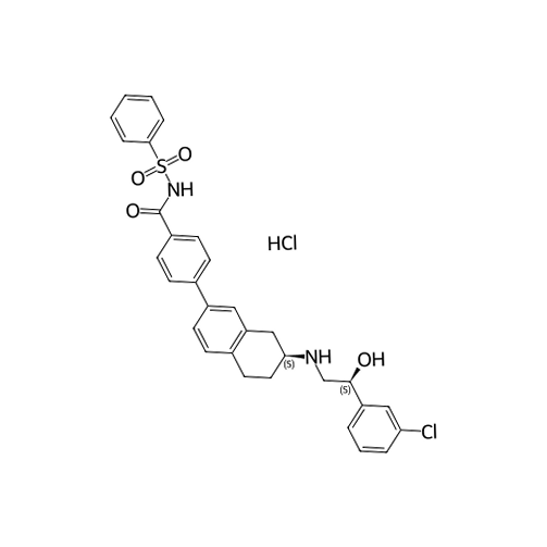 Cl.O=C(NS(=O)(=O)c1ccccc1)c1ccc(-c2ccc3c(c2)C[C@@H](NC[C@@H](O)c2cccc(Cl)c2)CC3)cc1